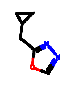 c1nnc(CC2CC2)o1